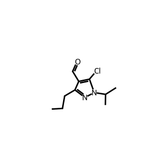 CCCc1nn(C(C)C)c(Cl)c1C=O